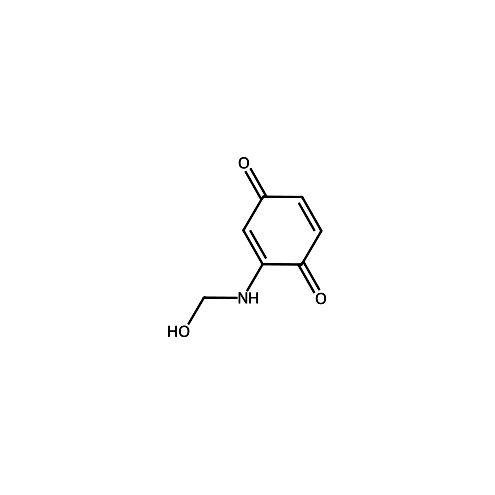 O=C1C=CC(=O)C(NCO)=C1